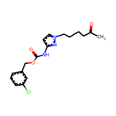 CC(=O)CCCCn1ccc(NC(=O)OCc2cccc(Cl)c2)n1